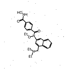 CCON(C(=O)c1ccc(C(=O)NO)cc1)c1cc(CN(CC)CC)c2ccccc2c1